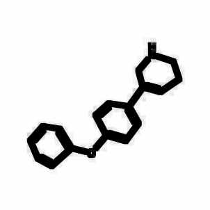 C1=C(c2ccc(Oc3ccccc3)cc2)CNCC1